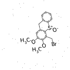 COc1cc2c(c(CBr)c1OC)[S+]([O-])c1ccccc1C2